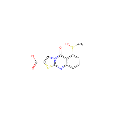 C[S+]([O-])c1cccc2nc3sc(C(=O)O)cn3c(=O)c12